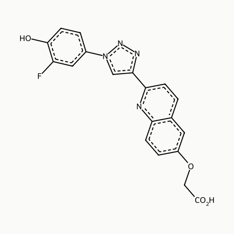 O=C(O)COc1ccc2nc(-c3cn(-c4ccc(O)c(F)c4)nn3)ccc2c1